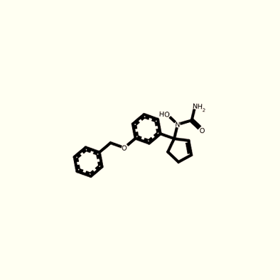 NC(=O)N(O)C1(c2cccc(OCc3ccccc3)c2)C=CCC1